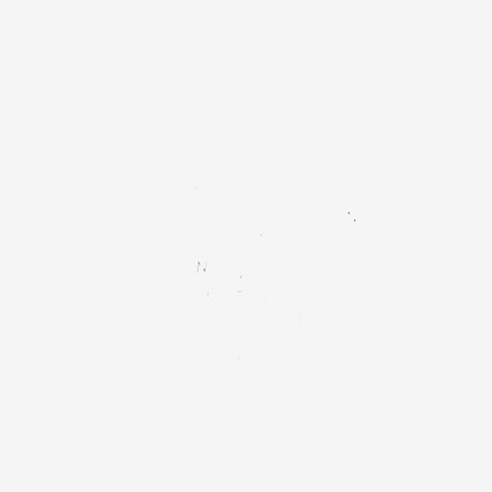 O=[N+]([O-])c1cccc2cncc(C(F)(F)F)c12